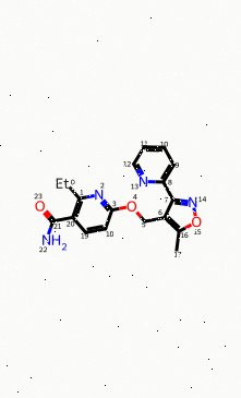 CCc1nc(OCc2c(-c3ccccn3)noc2C)ccc1C(N)=O